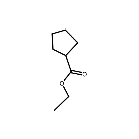 CCOC(=O)C1C[CH]CC1